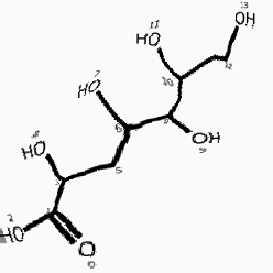 O=C(O)C(O)CC(O)C(O)C(O)CO